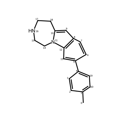 Cc1ccc(-c2ccc3cc4n(c3c2)CCNCC4)cc1